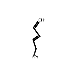 [CH]=C/C=C/CCC[CH2]